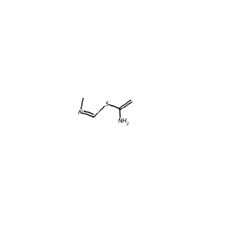 C=C(N)S/C=N\C